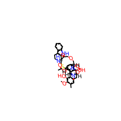 COc1c(C)cc2c(c1O)[C@@H]1C3[C@@H]4SC[C@]5(NCCc6c5[nH]c5ccccc65)C(=O)COC[C@@H](c5c6c(c(C)c(OC(C)=O)c54)OCO6)N3[C@@H](O)[C@H](C2)N1C